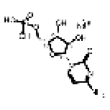 Nc1ccn([C@@H]2O[C@H](COP(=O)(O)O)[C@@H](O)[C@H]2O)c(=O)n1.[Na].[Na]